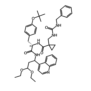 CCOC(CC(NC(=O)[C@H](Cc1ccc(OC(C)(C)C)cc1)NC(=O)C1(CNC(=O)NCc2ccccc2)CC1)c1ccnc2ccccc12)OCC